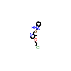 Cc1c(OCCCCl)ccnc1CSc1nc2ccccc2[nH]1